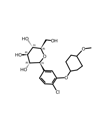 COC1CCC(Oc2cc([C@@H]3O[C@H](CO)[C@@H](O)[C@H](O)[C@H]3O)ccc2Cl)CC1